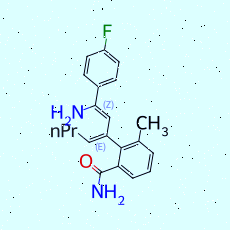 CCC/C=C(\C=C(/N)c1ccc(F)cc1)c1c(C)cccc1C(N)=O